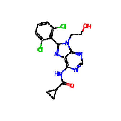 O=C(Nc1ncnc2c1nc(-c1c(Cl)cccc1Cl)n2CCO)C1CC1